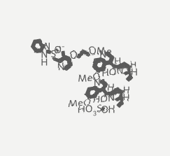 C=C[C@H]1C[N@]2CC[C@H]1C[C@H]2[C@H](O)c1ccnc2ccc(OC)cc12.C=C[C@H]1C[N@]2CC[C@H]1C[C@H]2[C@H](O)c1ccnc2ccc(OC)cc12.COCCCOc1ccnc(C[S+]([O-])c2nc3ccccc3[nH]2)c1C.O=S(=O)(O)O